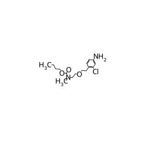 CCCCOC(=O)N(C)CCOCCc1ccc(N)cc1Cl